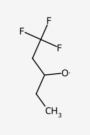 CCC([O])CC(F)(F)F